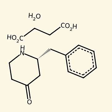 O.O=C(O)CCC(=O)O.O=C1CCN[C@H](Cc2ccccc2)C1